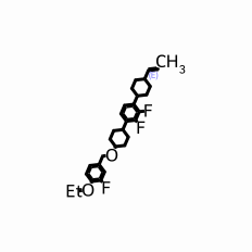 C/C=C/C1CCC(c2ccc(C3CCC(OCc4ccc(OCC)c(F)c4)CC3)c(F)c2F)CC1